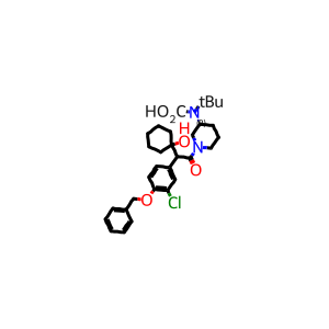 CC(C)(C)N(C(=O)O)[C@@H]1CCCN(C(=O)C(c2ccc(OCc3ccccc3)c(Cl)c2)C2(O)CCCCC2)C1